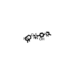 Cc1ccn(-c2ccc(-c3nnc(OC4CC5CCC(C)C(C)(C4)N5)s3)c(O)c2)n1